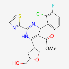 COC(=O)C1=C(C2COC(CO)C2)NC(c2nccs2)=NC1c1cccc(F)c1Cl